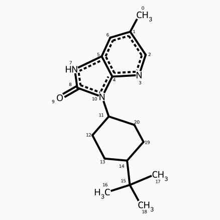 Cc1cnc2c(c1)[nH]c(=O)n2C1CCC(C(C)(C)C)CC1